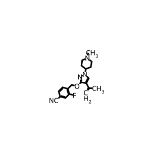 C=C(C)c1cn(C2CCN(C)CC2)nc1OCc1ccc(C#N)cc1F